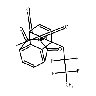 O=C1NC(=O)C2(CC(F)(F)C(F)(F)C(F)(F)F)C=CC1c1c2c2ccc1c(=O)[nH]c2=O